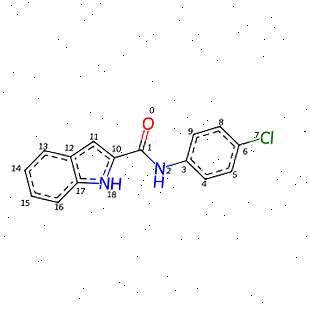 O=C(Nc1ccc(Cl)cc1)c1cc2ccccc2[nH]1